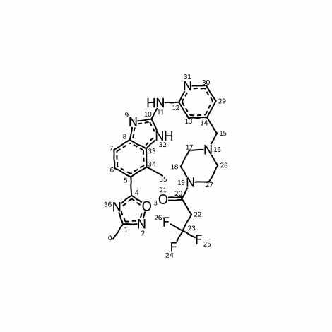 Cc1noc(-c2ccc3nc(Nc4cc(CN5CCN(C(=O)CC(F)(F)F)CC5)ccn4)[nH]c3c2C)n1